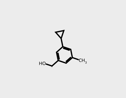 Cc1cc([CH]O)cc(C2CC2)c1